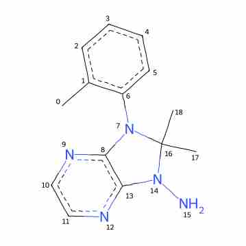 Cc1ccccc1N1c2nccnc2N(N)C1(C)C